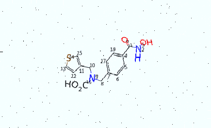 O=C(NO)c1ccc(CN(Cc2ccsc2)C(=O)O)cc1